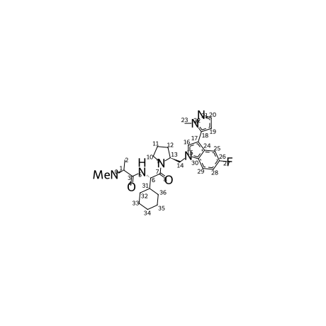 CN[C@@H](C)C(=O)N[C@H](C(=O)N1CCC[C@H]1Cn1cc(-c2ccnn2C)c2cc(F)ccc21)C1CCCCC1